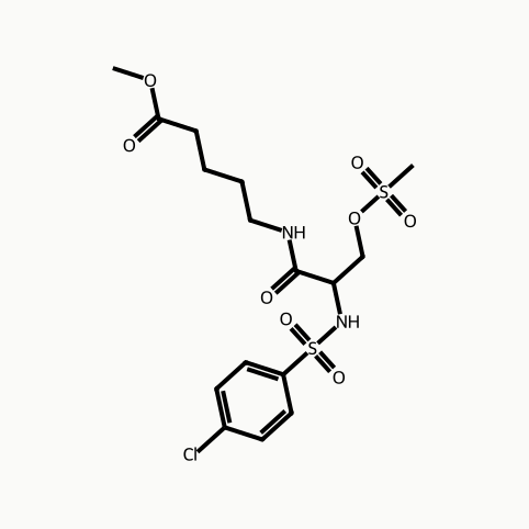 COC(=O)CCCCNC(=O)C(COS(C)(=O)=O)NS(=O)(=O)c1ccc(Cl)cc1